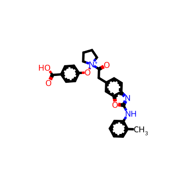 Cc1ccccc1Nc1nc2ccc(CC(=O)[N+]3(Oc4ccc(C(=O)O)cc4)CCCC3)cc2o1